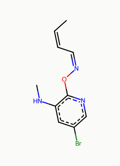 C/C=C\C=N/Oc1ncc(Br)cc1NC